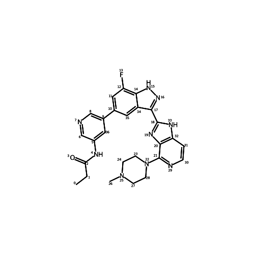 CCC(=O)Nc1cncc(-c2cc(F)c3[nH]nc(-c4nc5c(N6CCN(C)CC6)nccc5[nH]4)c3c2)c1